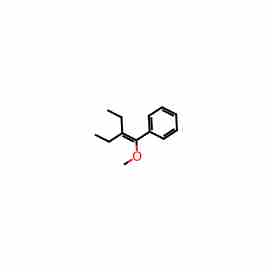 CCC(CC)=C(OC)c1ccccc1